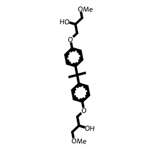 COCC(O)COc1ccc(C(C)(C)c2ccc(OCC(O)COC)cc2)cc1